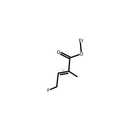 CCOC(=O)/C(C)=C/CF